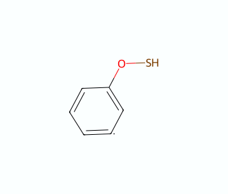 SOc1c[c]ccc1